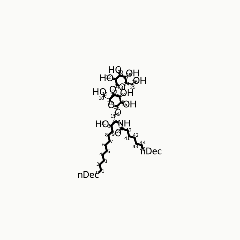 CCCCCCCCCCCCCCCCCCC[C@@H](O)[C@H](CO[C@@H]1O[C@H](CO)[C@@H](O[C@@H]2O[C@H](CO)[C@H](O)C(O)C2O)C(O)C1O)NC(=O)CCCCCCCCCCCCCCC